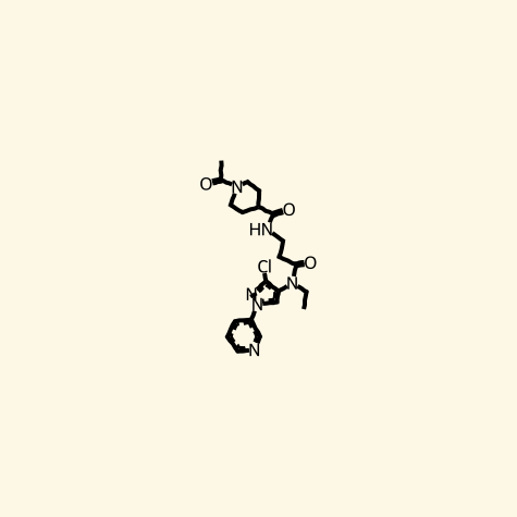 CCN(C(=O)CCNC(=O)C1CCN(C(C)=O)CC1)c1cn(-c2cccnc2)nc1Cl